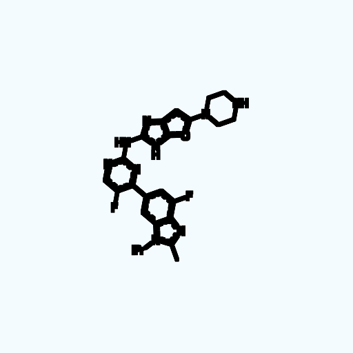 Cc1nc2c(F)cc(-c3nc(Nc4nc5cc(N6CCNCC6)oc5[nH]4)ncc3F)cc2n1C(C)C